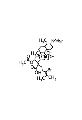 CC(=O)O[C@H]1C[C@@]2(C)C(C[C@@H](O)C3[C@@]4(C)CC[C@@H](N=[N+]=[N-])[C@@H](C)C4CC[C@@]32C)/C1=C(\CCC(Br)=C(C)C)C(=O)O